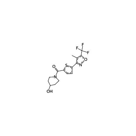 Cc1c(-c2ccc(C(=O)N3CCC(O)CC3)s2)noc1C(F)(F)F